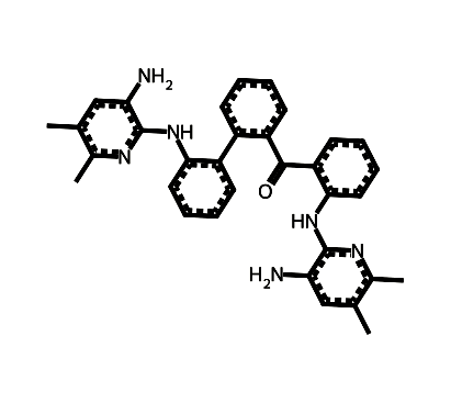 Cc1cc(N)c(Nc2ccccc2C(=O)c2ccccc2-c2ccccc2Nc2nc(C)c(C)cc2N)nc1C